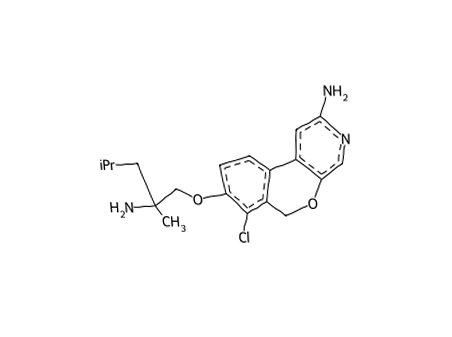 CC(C)CC(C)(N)COc1ccc2c(c1Cl)COc1cnc(N)cc1-2